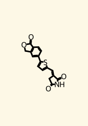 O=C1C/C(=C\c2ccc(-c3ccc4c(c3)COC4=O)s2)C(=O)N1